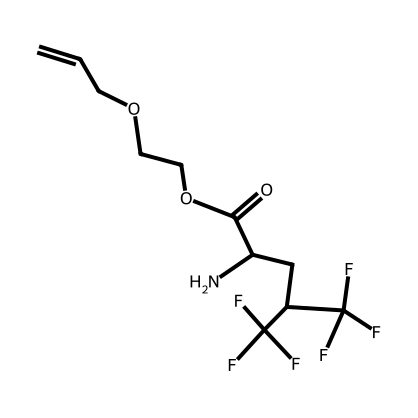 C=CCOCCOC(=O)C(N)CC(C(F)(F)F)C(F)(F)F